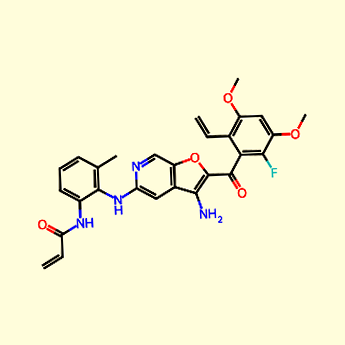 C=CC(=O)Nc1cccc(C)c1Nc1cc2c(N)c(C(=O)c3c(F)c(OC)cc(OC)c3C=C)oc2cn1